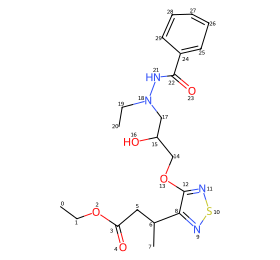 CCOC(=O)CC(C)c1nsnc1OCC(O)CN(CC)NC(=O)c1ccccc1